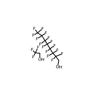 OCC(F)(F)C(F)(F)C(F)(F)C(F)(F)C(F)(F)C(F)(F)C(F)(F)F.OCC(F)(F)F